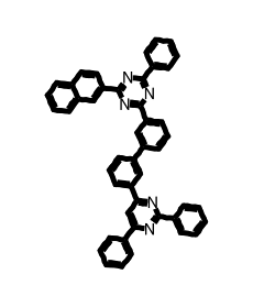 c1ccc(-c2cc(-c3cccc(-c4cccc(-c5nc(-c6ccccc6)nc(-c6ccc7ccccc7c6)n5)c4)c3)nc(-c3ccccc3)n2)cc1